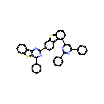 c1ccc(-c2cc(-c3cccc4sc5cc(-c6nc(-c7ccccc7)c7sc8ccccc8c7n6)ccc5c34)nc(-c3ccccc3)n2)cc1